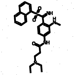 CCN(CC)CCC(=O)Nc1ccc(C(=N)S(=O)(=O)c2cccc3ccccc23)c(NC)c1